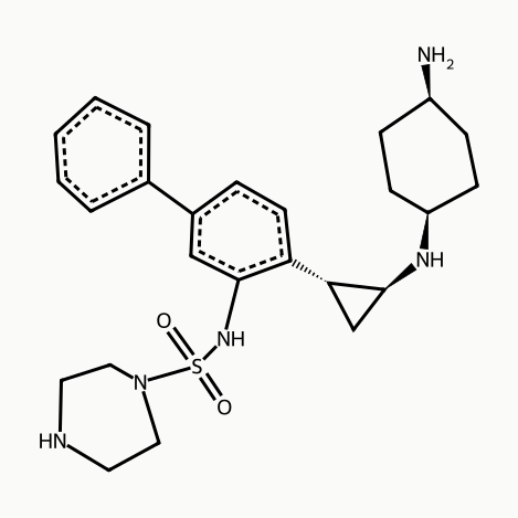 N[C@H]1CC[C@@H](N[C@H]2C[C@@H]2c2ccc(-c3ccccc3)cc2NS(=O)(=O)N2CCNCC2)CC1